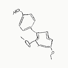 COc1[c]c(OC)c(-c2ccc(O)cc2)cc1